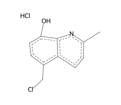 Cc1ccc2c(CCl)ccc(O)c2n1.Cl